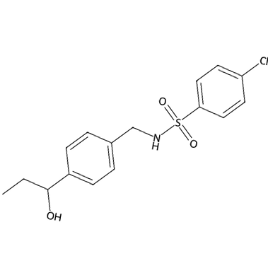 CCC(O)c1ccc(CNS(=O)(=O)c2ccc(Cl)cc2)cc1